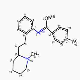 CO/C(=N\c1ccccc1CCC1CCCCN1C)c1ccc(C(C)=O)cc1